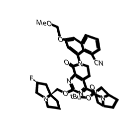 COCOc1cc(N2CCc3c(nc(OC[C@@]45CCCN4C[C@H](F)C5)nc3N3CC4CCC(C3)N4C(=O)OC(C)(C)C)C2=O)c2c(C#N)cccc2c1